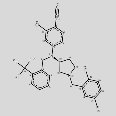 [C-]#[N+]c1ccc(N(Cc2ccccc2C(F)(F)F)[C@H]2CCN(Cc3cc(F)ccc3F)C2)cc1Cl